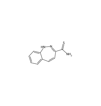 NC(=S)C1=NNc2ccccc2C=C1